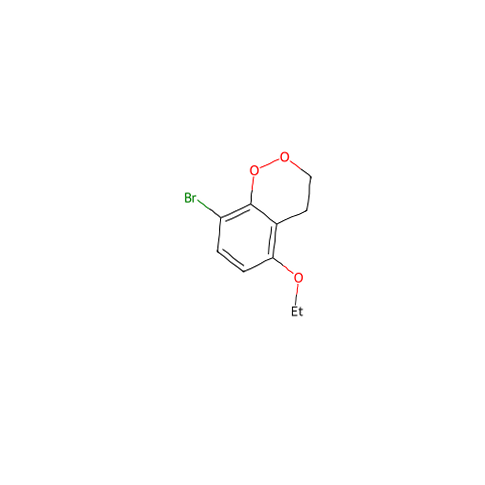 CCOc1ccc(Br)c2c1CCOO2